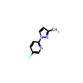 Cc1ccn(-c2ccc(F)cn2)n1